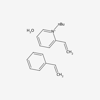 C=Cc1cccc[n+]1CCCC.C=Cc1ccccc1.O